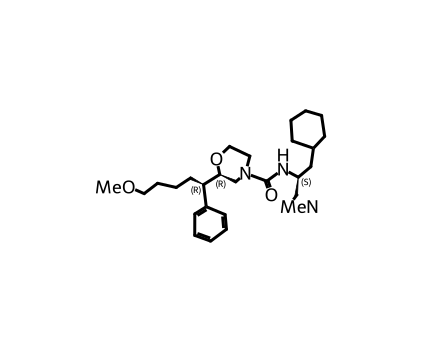 CNC[C@H](CC1CCCCC1)NC(=O)N1CCO[C@H]([C@H](CCCCOC)c2ccccc2)C1